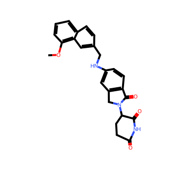 COc1cccc2ccc(CNc3ccc4c(c3)CN(C3CCC(=O)NC3=O)C4=O)cc12